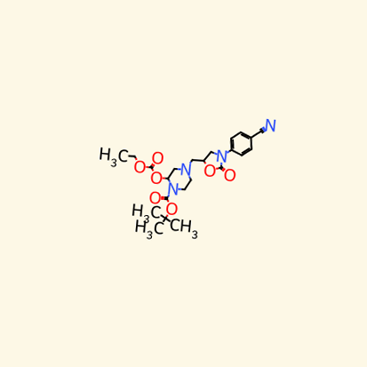 CCOC(=O)OC1CN(CC2CN(c3ccc(C#N)cc3)C(=O)O2)CCN1C(=O)OC(C)(C)C